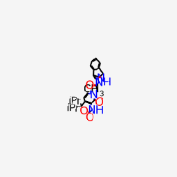 Cc1cc2c(c(=O)n1CC(=O)NC1C3=CN=C1c1ccccc13)NC(=O)OC2(C(C)C)C(C)C